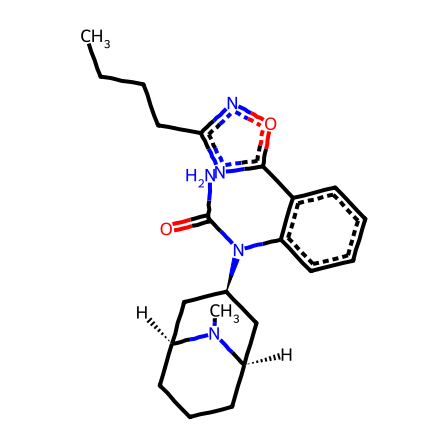 CCCCc1noc(-c2ccccc2N(C(N)=O)[C@H]2C[C@H]3CCC[C@@H](C2)N3C)n1